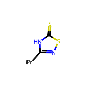 CC(C)c1nsc(=S)[nH]1